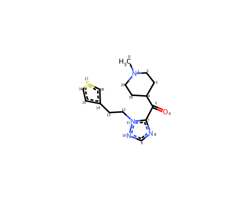 CN1CCC(C(=O)c2ncnn2CCc2ccsc2)CC1